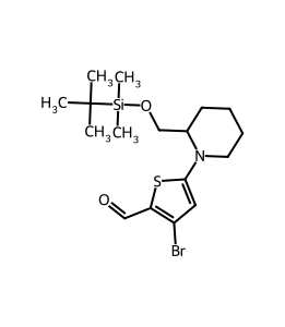 CC(C)(C)[Si](C)(C)OCC1CCCCN1c1cc(Br)c(C=O)s1